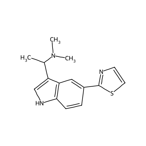 CC(c1c[nH]c2ccc(-c3nccs3)cc12)N(C)C